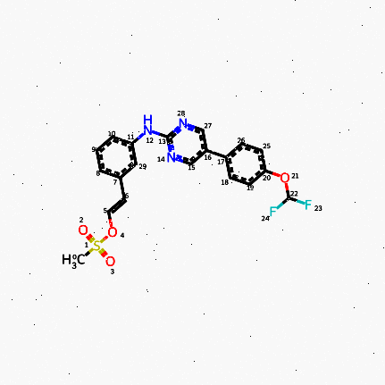 CS(=O)(=O)OC=Cc1cccc(Nc2ncc(-c3ccc(OC(F)F)cc3)cn2)c1